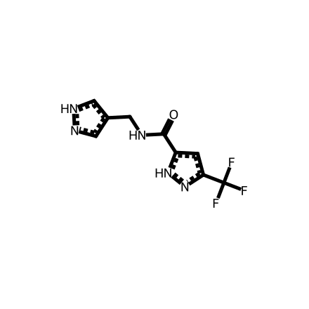 O=C(NCc1cn[nH]c1)c1cc(C(F)(F)F)n[nH]1